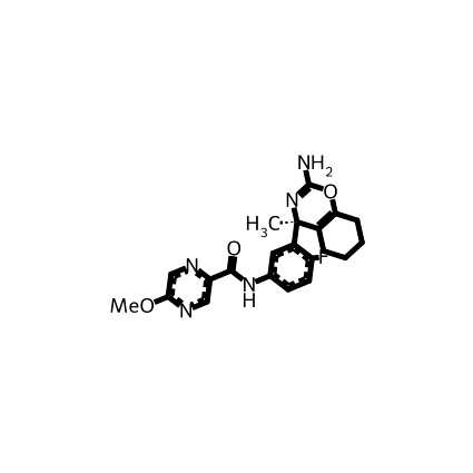 COc1cnc(C(=O)Nc2ccc(F)c([C@@]3(C)N=C(N)OC4=C3CCCC4)c2)cn1